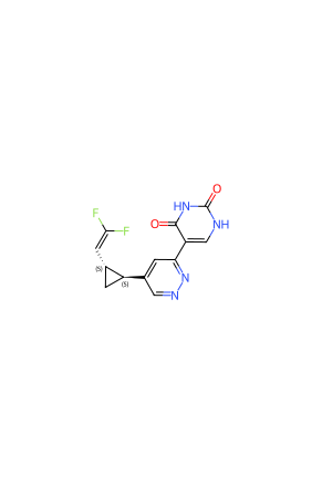 O=c1[nH]cc(-c2cc([C@H]3C[C@@H]3C=C(F)F)cnn2)c(=O)[nH]1